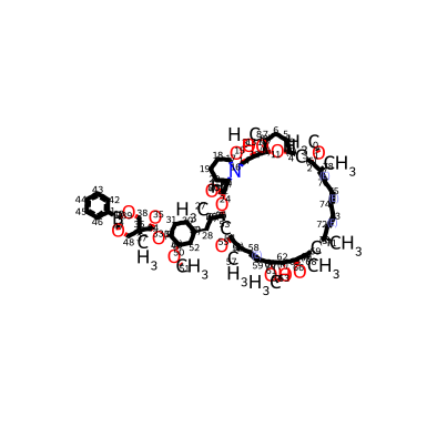 CO[C@H]1C[C@@H]2CC[C@@H](C)[C@@](O)(O2)C(=O)C(=O)N2CCCC[C@H]2C(=O)O[C@H]([C@H](C)C[C@@H]2CC[C@@H](OC(=O)C3(C)COB(c4ccccc4)OC3)[C@H](OC)C2)CC(=O)[C@H](C)/C=C/[C@@H](O)[C@@H](OC)C(=O)[C@H](C)C[C@H](C)/C=C/C=C/C=C/1C